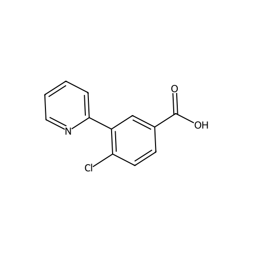 O=C(O)c1ccc(Cl)c(-c2ccccn2)c1